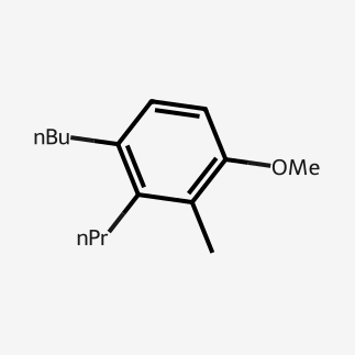 CCCCc1ccc(OC)c(C)c1CCC